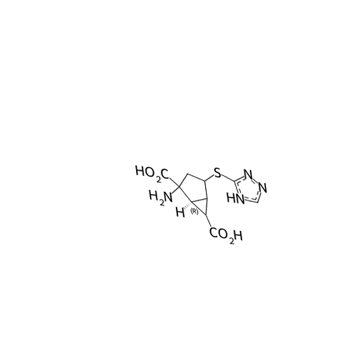 NC1(C(=O)O)CC(Sc2nnc[nH]2)C2C(C(=O)O)[C@H]21